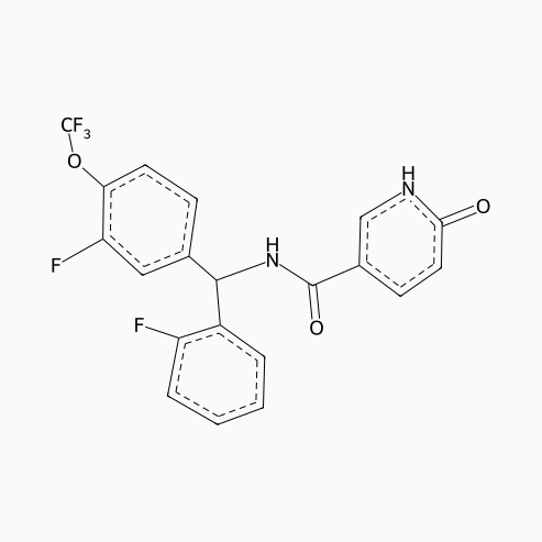 O=C(NC(c1ccc(OC(F)(F)F)c(F)c1)c1ccccc1F)c1ccc(=O)[nH]c1